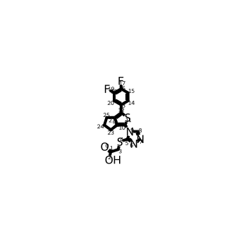 O=C(O)CSc1nncn1-c1sc(-c2ccc(F)c(F)c2)c2c1CCC2